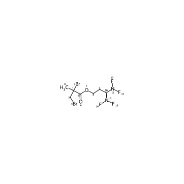 CC(Br)(CBr)C(=O)OCCC(N(F)F)N(F)F